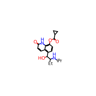 CCC(NC(C)C)C(O)c1ccc(OC(=O)C2CC2)c2[nH]c(=O)ccc12